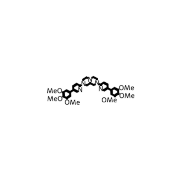 COc1cc(-c2ccc(N3CCN4CCN(c5ccc(-c6cc(OC)c(OC)c(OC)c6)cn5)CC4C3)nc2)cc(OC)c1OC